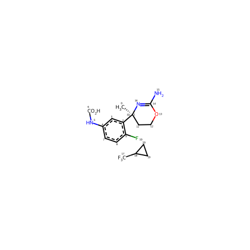 C[C@@]1(c2cc(NC(=O)O)ccc2F)CCOC(N)=N1.FC(F)(F)C1CC1